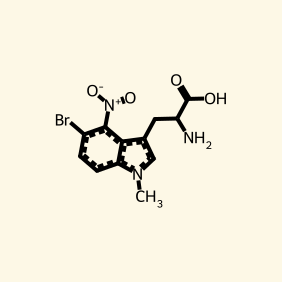 Cn1cc(CC(N)C(=O)O)c2c([N+](=O)[O-])c(Br)ccc21